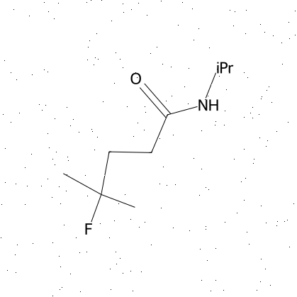 CC(C)NC(=O)CCC(C)(C)F